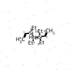 C=C[SiH](CC)N(CC)[Si](C=C)(CC)CC